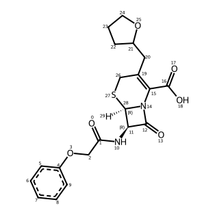 O=C(COc1ccccc1)N[C@@H]1C(=O)N2C(C(=O)O)=C(CC3CCCO3)CS[C@H]12